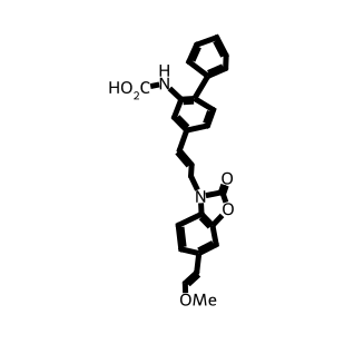 COC=Cc1ccc2c(c1)oc(=O)n2C/C=C/c1ccc(-c2ccccc2)c(NC(=O)O)c1